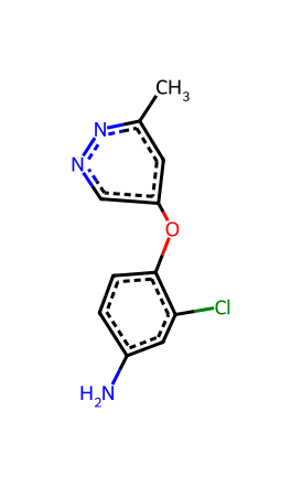 Cc1cc(Oc2ccc(N)cc2Cl)cnn1